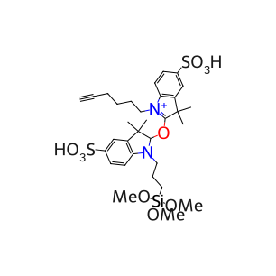 C#CCCCC[N+]1=C(OC2N(CCC[Si](OC)(OC)OC)c3ccc(S(=O)(=O)O)cc3C2(C)C)C(C)(C)c2cc(S(=O)(=O)O)ccc21